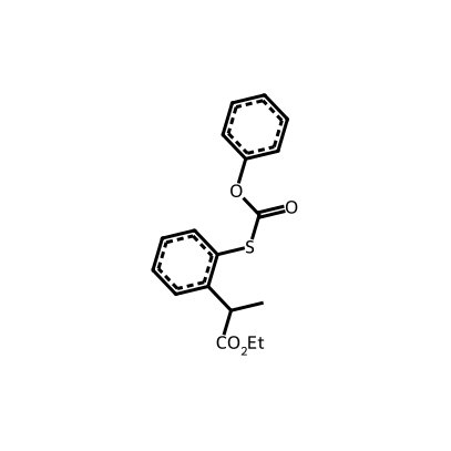 CCOC(=O)C(C)c1ccccc1SC(=O)Oc1ccccc1